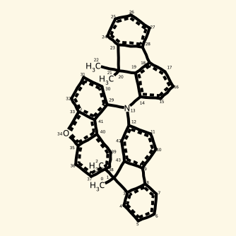 CC1(C)c2ccccc2-c2ccc(N(c3cccc4c3C(C)(C)c3ccccc3-4)c3cccc4oc5ccccc5c34)cc21